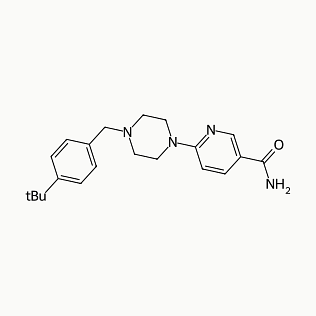 CC(C)(C)c1ccc(CN2CCN(c3ccc(C(N)=O)cn3)CC2)cc1